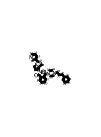 O=C(Nc1ccn2c1CSC2c1cccnc1)c1ccccc1C(=O)N1CCN(CCCc2ccccc2)CC1